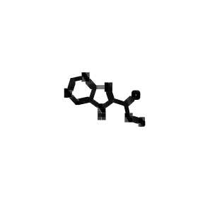 O=C(N=S)c1nc2ncncc2[nH]1